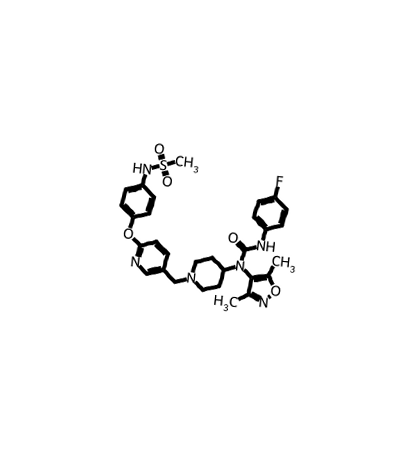 Cc1noc(C)c1N(C(=O)Nc1ccc(F)cc1)C1CCN(Cc2ccc(Oc3ccc(NS(C)(=O)=O)cc3)nc2)CC1